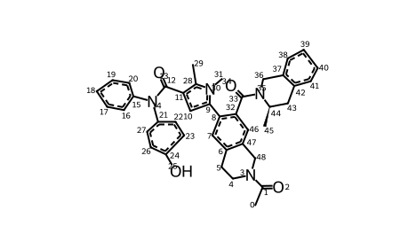 CC(=O)N1CCc2cc(-c3cc(C(=O)N(c4ccccc4)c4ccc(O)cc4)c(C)n3C)c(C(=O)N3Cc4ccccc4C[C@H]3C)cc2C1